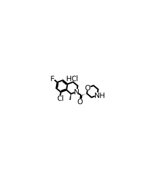 C[C@H]1c2c(Cl)cc(F)cc2CCN1C(=O)[C@H]1CNCCO1.Cl